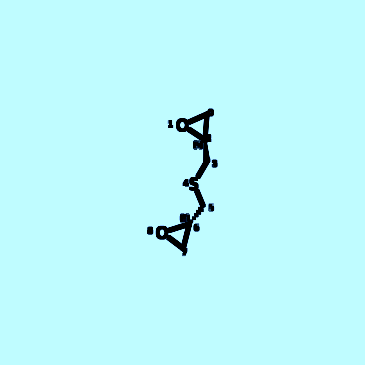 C1O[C@@H]1CSC[C@@H]1CO1